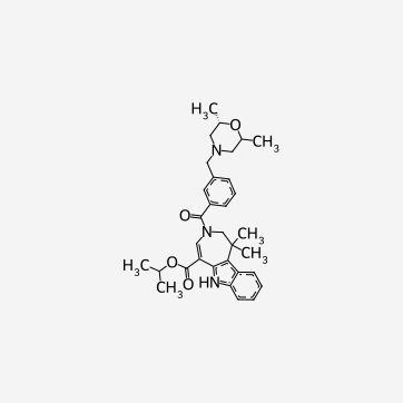 CC(C)OC(=O)C1=CN(C(=O)c2cccc(CN3CC(C)O[C@@H](C)C3)c2)CC(C)(C)c2c1[nH]c1ccccc21